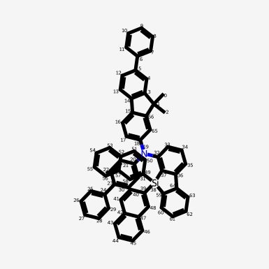 CC1(C)c2cc(-c3ccccc3)ccc2-c2ccc(N(c3ccc(-c4ccccc4)cc3)c3cccc4c3[Si](c3ccc5ccccc5c3)(c3ccc5ccccc5c3)c3ccccc3-4)cc21